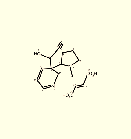 C#CC(O)C1(C2CCCN2C)C=CC=NC1.O=C(O)C=CC(=O)O